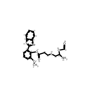 COc1cccc(-c2nc3ccccc3s2)c1OC(=O)CCSCC(N)OC=O